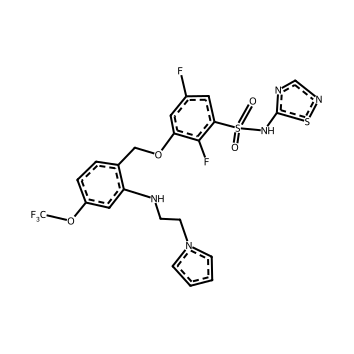 O=S(=O)(Nc1ncns1)c1cc(F)cc(OCc2ccc(OC(F)(F)F)cc2NCCn2cccc2)c1F